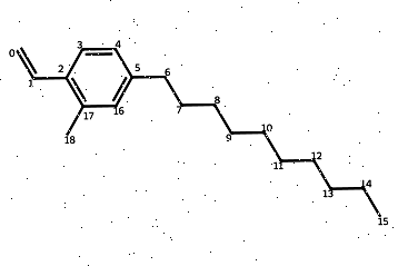 C=Cc1ccc(CCCCCCCCCC)cc1C